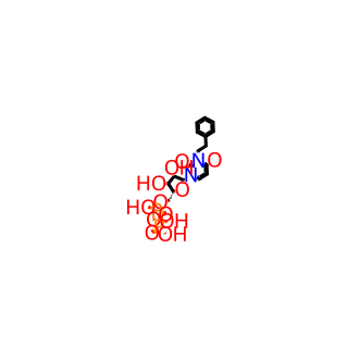 O=c1ccn([C@@H]2O[C@H](COP(=O)(O)OP(=O)(O)O)C(O)C2O)c(=O)n1CCc1ccccc1